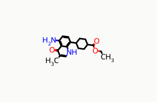 CCOC(=O)C1CCC(c2ccc(N)c3c(=O)c(C)c[nH]c23)CC1